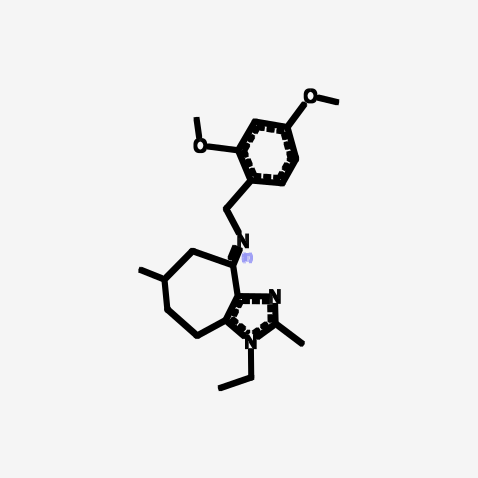 CCn1c(C)nc2c1CCC(C)C/C2=N\Cc1ccc(OC)cc1OC